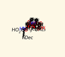 CCCCCCCCCCCCCCCCC(NC(=O)CCC(=O)O[C@@H](C(=O)O[C@H]1C[C@@]2(O)[C@@H](OC(=O)c3ccccc3)C3[C@](C)(C(=O)[C@H](OC(C)=O)C(=C1C)C2(C)C)[C@@H](O)C[C@H]1OC[C@@]31OC(C)=O)[C@@H](NC(=O)c1ccccc1)c1ccccc1)C(=O)O